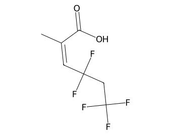 CC(=CC(F)(F)CC(F)(F)F)C(=O)O